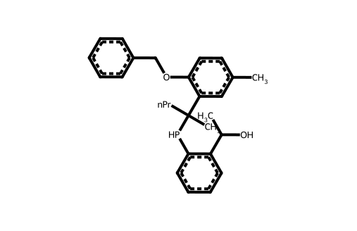 CCCC(C)(Pc1ccccc1C(C)O)c1cc(C)ccc1OCc1ccccc1